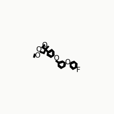 CCOC(=O)CC1(c2ccc(OCc3cccc(Oc4ccc(F)cc4)c3)cc2)COC1